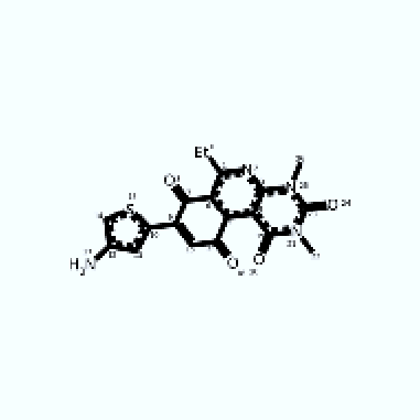 CCc1nc2c(c3c1C(=O)C(c1cc(N)cs1)=CC3=O)c(=O)n(C)c(=O)n2C